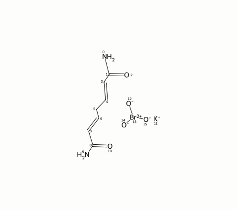 NC(=O)C=CCC=CC(N)=O.[K+].[O-][Br+2]([O-])[O-]